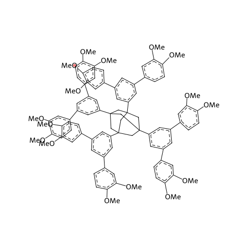 COc1ccc(-c2cc(-c3ccc(OC)c(OC)c3)cc(C34CC5(c6cc(-c7ccc(OC)c(OC)c7)cc(-c7ccc(OC)c(OC)c7)c6)CC(c6cc(-c7ccc(OC)c(OC)c7)cc(-c7ccc(OC)c(OC)c7)c6)(C3)CC(c3cc(-c6ccc(OC)c(OC)c6)cc(-c6ccc(OC)c(OC)c6)c3)(C4)C5)c2)cc1OC